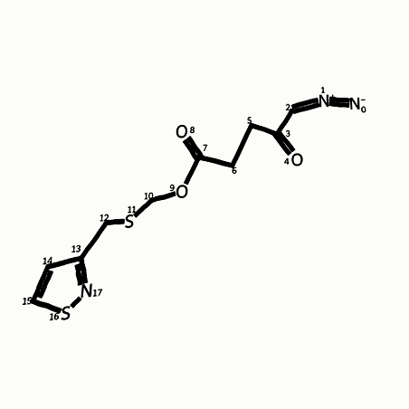 [N-]=[N+]=CC(=O)CCC(=O)OCSCc1ccsn1